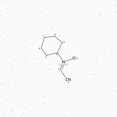 N#C/C=[N+](\[O-])C1CCCCC1